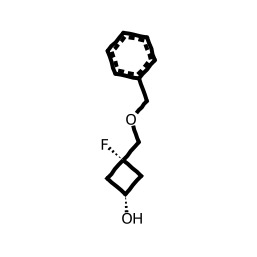 O[C@H]1C[C@](F)(COCc2ccccc2)C1